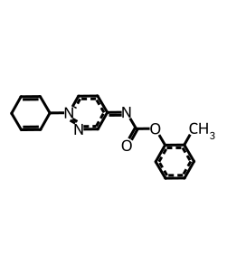 Cc1ccccc1OC(=O)N=c1ccn(C2C=CCC=C2)nc1